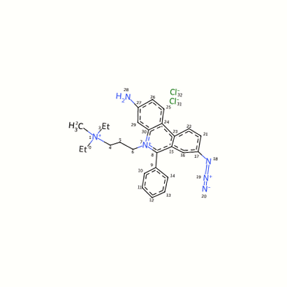 CC[N+](C)(CC)CCC[n+]1c(-c2ccccc2)c2cc(N=[N+]=[N-])ccc2c2ccc(N)cc21.[Cl-].[Cl-]